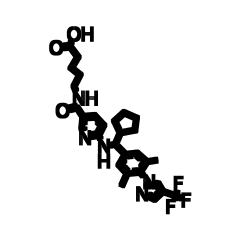 Cc1cc(C(Nc2ccc(C(=O)NCCCCC(=O)O)cn2)C2CCCC2)cc(C)c1-n1cc(C(F)(F)F)cn1